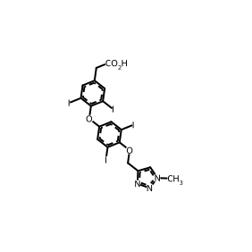 Cn1cc(COc2c(I)cc(Oc3c(I)cc(CC(=O)O)cc3I)cc2I)nn1